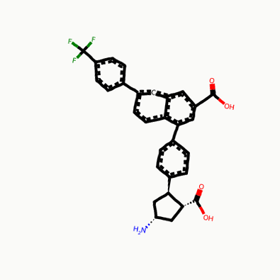 N[C@H]1C[C@@H](C(=O)O)[C@H](c2ccc(-c3cc(C(=O)O)cc4cc(-c5ccc(C(F)(F)F)cc5)ccc34)cc2)C1